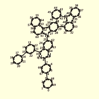 c1ccc(-c2ccc(-c3nc(-c4cccc(-c5ccccc5)c4)c4cc(-n5c6cc(-c7cccc8c9ccccc9n(-c9ccccc9)c78)ccc6c6c7ccccc7ccc65)ccc4n3)cc2)cc1